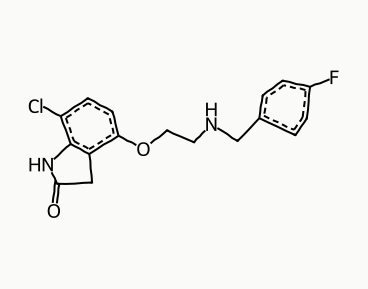 O=C1Cc2c(OCCNCc3ccc(F)cc3)ccc(Cl)c2N1